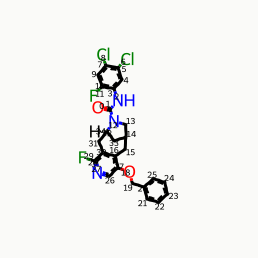 O=C(Nc1cc(Cl)c(Cl)cc1F)N1CC2Cc3c(OCc4ccccc4)cnc(F)c3C[C@@H]1C2